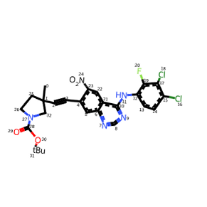 CC1(C#Cc2cc3ncnc(Nc4ccc(Cl)c(Cl)c4F)c3cc2[N+](=O)[O-])CCN(C(=O)OC(C)(C)C)C1